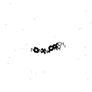 CCc1cc2ccc(CN3CC4(C3)CN(c3ccc(F)cc3)C4)cc2[nH]c1=O